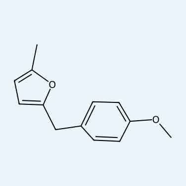 COc1ccc(Cc2ccc(C)o2)cc1